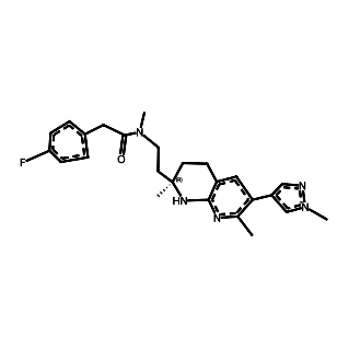 Cc1nc2c(cc1-c1cnn(C)c1)CC[C@](C)(CCN(C)C(=O)Cc1ccc(F)cc1)N2